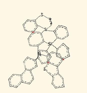 c1ccc([Si]2(c3ccccc3)c3ccccc3[Si]3(c4ccccc4Sc4ccccc43)c3cccc(N(c4ccc5c(ccc6ccccc65)c4)c4cccc5c4sc4ccccc45)c32)cc1